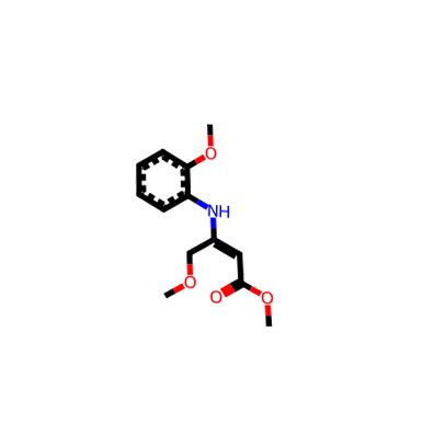 COCC(=CC(=O)OC)Nc1ccccc1OC